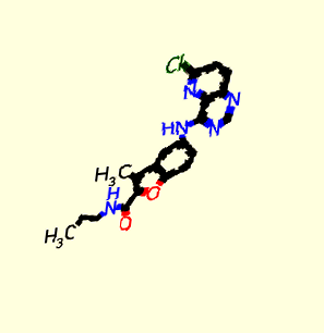 CCCNC(=O)c1oc2ccc(Nc3ncnc4ccc(Cl)nc34)cc2c1C